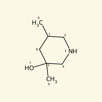 CC1CNCC(C)(O)C1